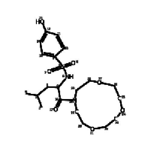 CC(C)CC(NS(=O)(=O)c1ccc(O)cc1)C(=O)N1CCOCCOCCOCC1